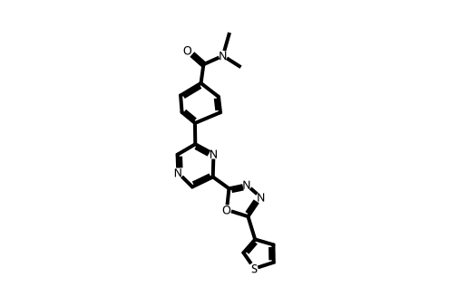 CN(C)C(=O)c1ccc(-c2cncc(-c3nnc(-c4ccsc4)o3)n2)cc1